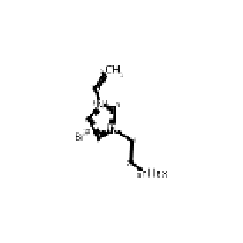 C=C[n+]1ccn(CCCCCCCC)c1.[Br-]